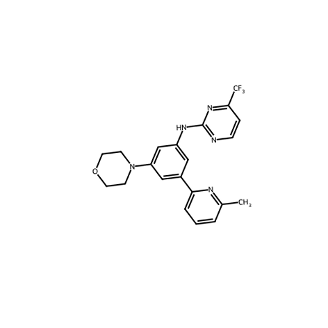 Cc1cccc(-c2cc(Nc3nccc(C(F)(F)F)n3)cc(N3CCOCC3)c2)n1